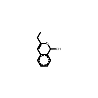 [CH2]CC1=Cc2ccccc2C(O)O1